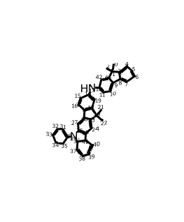 CC1(C)c2ccccc2-c2ccc(Nc3ccc4c(c3)C(C)(C)c3cc5c(cc3-4)N(C3=CC=CCC3)C3C=CC=CC53)cc21